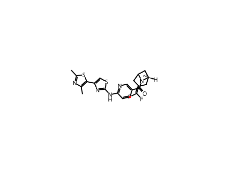 Cc1nc(C)c(-c2csc(Nc3ccc(C(=O)N4C5CC(=C(F)F)C[C@H]4C5)cn3)n2)s1